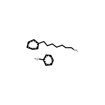 CCCCCCCCc1ccccc1.Cc1ccccc1